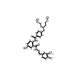 CCOCCN(CCOCC)Cc1ccc(C(=O)Nc2ccc(Br)cc2C(=O)N/N=C/c2ccc(Cl)c(C(F)(F)F)c2)cc1